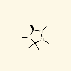 CN1C(=O)N(C)C(C)(C)N1C